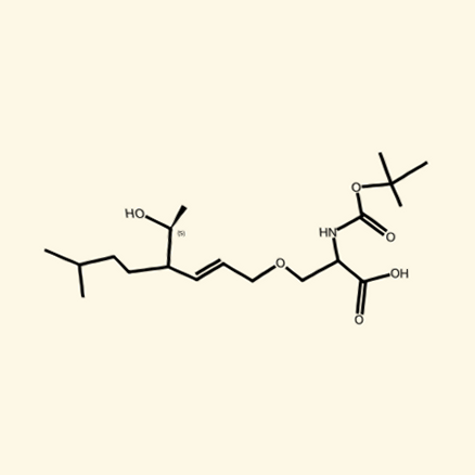 CC(C)CCC(C=CCOCC(NC(=O)OC(C)(C)C)C(=O)O)[C@H](C)O